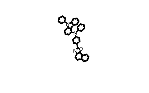 c1ccc(N(c2ccc(-c3nc4ccc5ccccc5c4o3)cc2)c2cccc3c2c2ccccc2n3-c2ccccc2)cc1